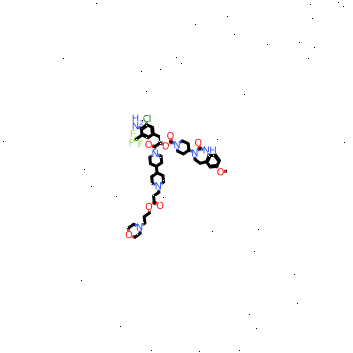 COc1ccc2c(c1)CCN(C1CCN(C(=O)O[C@H](Cc3cc(Cl)c(N)c(C(F)(F)F)c3)C(=O)N3CCC(C4CCN(CCC(=O)OCCCN5CCOCC5)CC4)CC3)CC1)C(=O)N2